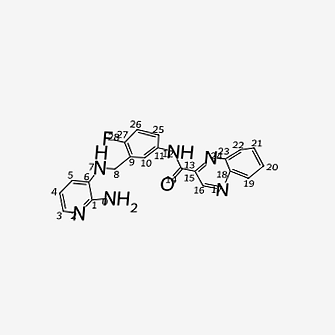 Nc1ncccc1NCc1cc(NC(=O)c2cnc3ccccc3n2)ccc1F